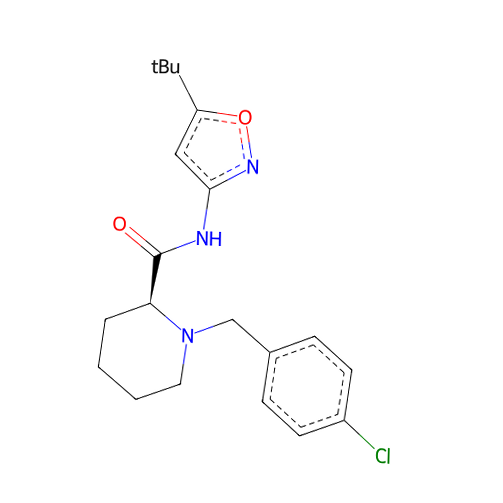 CC(C)(C)c1cc(NC(=O)[C@@H]2CCCCN2Cc2ccc(Cl)cc2)no1